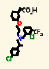 CC(CN(CCCOC1=CC(=CC(=O)O)CC=C1)Cc1cccc(C(F)(F)F)c1Cl)c1ccc(Cl)cc1